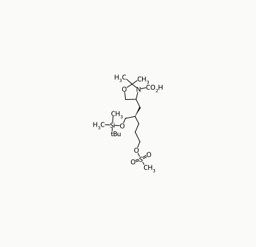 CC1(C)OCC(C[C@@H](CCCOS(C)(=O)=O)CO[Si](C)(C)C(C)(C)C)N1C(=O)O